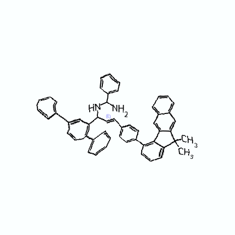 CC1(C)c2cc3ccccc3cc2-c2c(-c3ccc(/C=C/C(NC(N)c4ccccc4)c4cc(-c5ccccc5)ccc4-c4ccccc4)cc3)cccc21